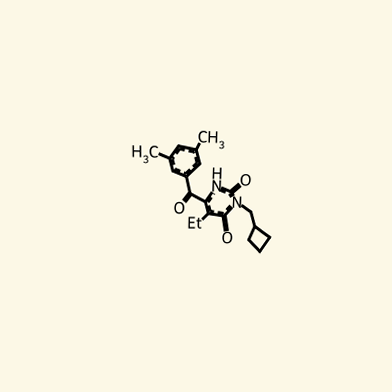 CCc1c(C(=O)c2cc(C)cc(C)c2)[nH]c(=O)n(CC2CCC2)c1=O